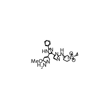 COC1C=C(c2[nH]c(-c3ccccc3)nc2-c2ccnc(N[C@@H]3CCCN(S(=O)(=O)C4CC4)C3)n2)C=NC1N